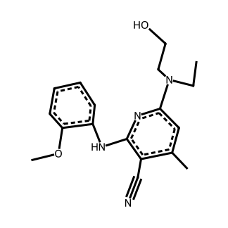 CCN(CCO)c1cc(C)c(C#N)c(Nc2ccccc2OC)n1